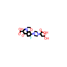 O=C(O)C=C(C(=O)O)N1CCN(c2c(F)cc3c(=O)c(C(=O)O)cn4c3c2OCC4)CC1